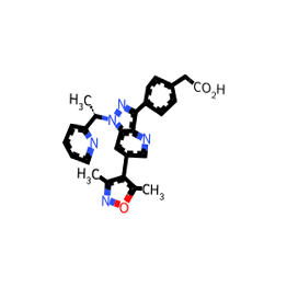 Cc1noc(C)c1-c1cnc2c(-c3ccc(CC(=O)O)cc3)nn([C@@H](C)c3ccccn3)c2c1